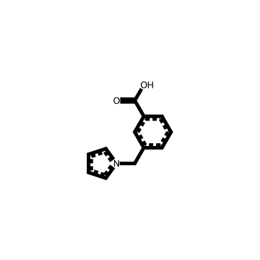 O=C(O)c1cccc(Cn2cccc2)c1